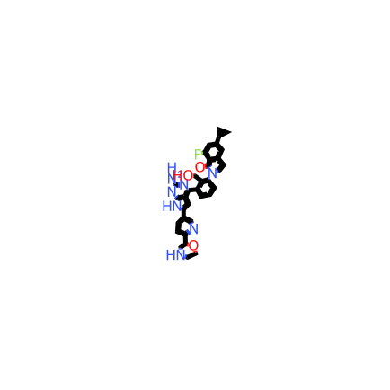 Nc1nc(-c2cccc(-n3ccc4cc(C5CC5)cc(F)c4c3=O)c2CO)c2cc(-c3ccc(C4CNCCO4)nc3)[nH]c2n1